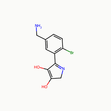 NCc1ccc(Br)c(C2=NCC(O)=C2O)c1